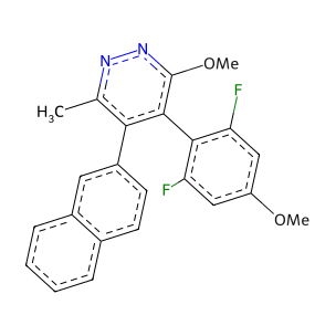 COc1cc(F)c(-c2c(OC)nnc(C)c2-c2ccc3ccccc3c2)c(F)c1